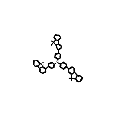 CC1(C)c2ccccc2-c2ccc(-c3ccc(N(c4ccc(-c5ccc6c(c5)C(C)(C)c5ccccc5-6)cc4)c4ccc(-c5cccc6c5oc5ccccc56)cc4)cc3)cc21